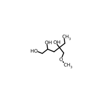 CCC(O)(COC)CC(O)CO